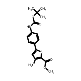 COC(=O)c1sc(-c2ccc(NC(=O)OC(C)(C)C)cc2)cc1C